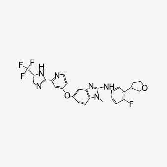 Cn1c(Nc2ccc(F)c(C3CCOC3)c2)nc2cc(Oc3ccnc(C4=NCC(C(F)(F)F)N4)c3)ccc21